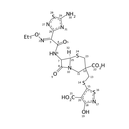 CCON=C(C(=O)NC1C(=O)N2CC(CSc3snc(O)c3C(=O)O)(C(=O)O)CS[C@H]12)c1nsc(N)n1